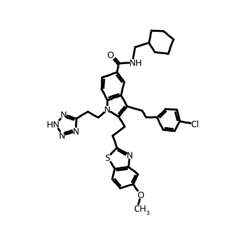 COc1ccc2sc(CCc3c(CCc4ccc(Cl)cc4)c4cc(C(=O)NCC5CCCCC5)ccc4n3CCc3nn[nH]n3)nc2c1